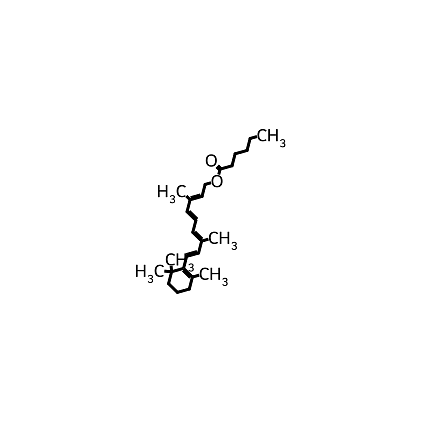 CCCCCC(=O)OCC=C(C)C=CC=C(C)C=CC1=C(C)CCCC1(C)C